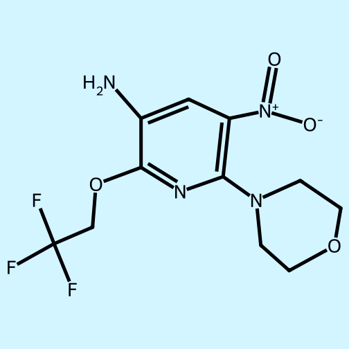 Nc1cc([N+](=O)[O-])c(N2CCOCC2)nc1OCC(F)(F)F